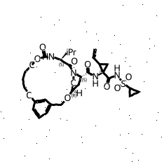 C=CC1C[C@]1(NC(=O)[C@@H]1C[C@@H]2CN1C(=O)[C@H](C(C)C)NC(=O)OCCCCCc1cccc(c1)CO2)C(=O)NS(=O)(=O)C1CC1